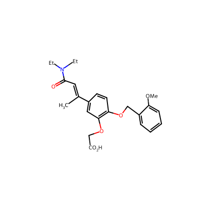 CCN(CC)C(=O)/C=C(\C)c1ccc(OCc2ccccc2OC)c(OCC(=O)O)c1